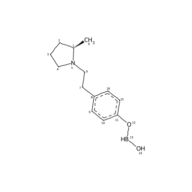 C[C@@H]1CCCN1CCc1ccc(OBO)cc1